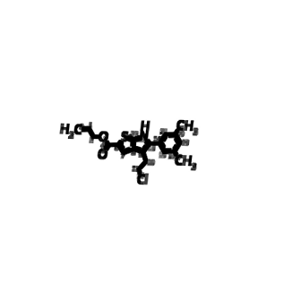 C=CCOC(=O)c1cc2c(CCCl)c(-c3cc(C)cc(C)c3)[nH]c2s1